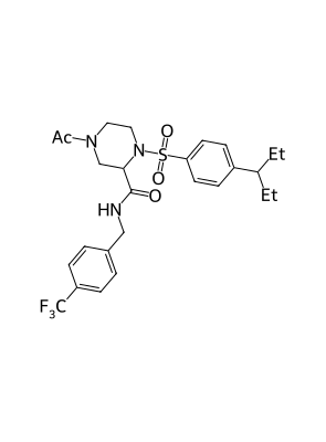 CCC(CC)c1ccc(S(=O)(=O)N2CCN(C(C)=O)CC2C(=O)NCc2ccc(C(F)(F)F)cc2)cc1